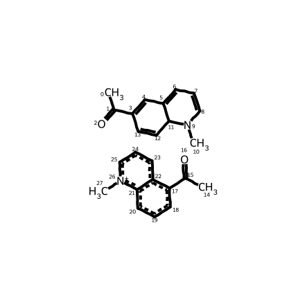 CC(=O)C1=CC2=CC=CN(C)C2C=C1.CC(=O)c1cccc2c1ccc[n+]2C